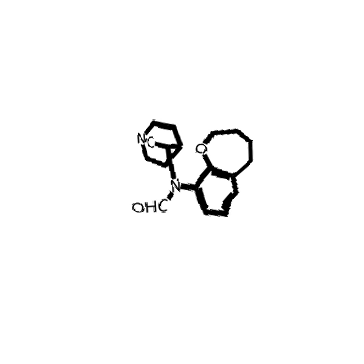 O=CN(c1cccc2c1OCCCC2)C1CN2CCC1CC2